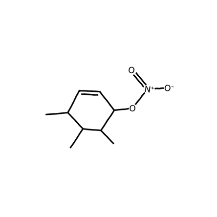 CC1C=CC(O[N+](=O)[O-])C(C)C1C